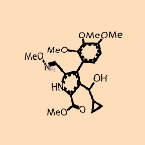 CO/N=C/c1[nH]c(C(=O)OC)c(C(O)C2CC2)c1-c1ccc(OC)c(OC)c1OC